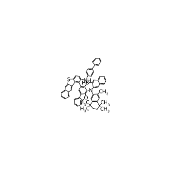 Cc1cc2c(cc1N1c3cc4ccccc4cc3Bc3c(-c4c(Nc5ccc(-c6ccccc6)cc5)ccc5sc6cc7ccccc7cc6c45)cc4c(oc5ccccc54)c31)C(C)(C)CCC2(C)C